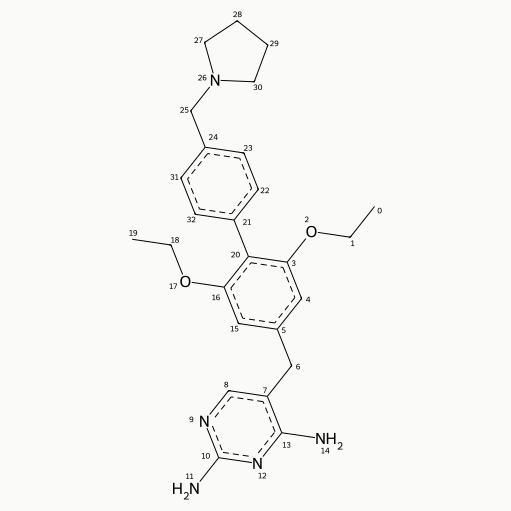 CCOc1cc(Cc2cnc(N)nc2N)cc(OCC)c1-c1ccc(CN2CCCC2)cc1